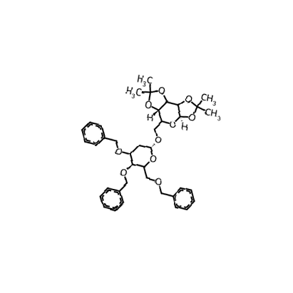 CC1(C)OC2C3OC(C)(C)O[C@H]3C(CO[C@H]3CC(OCc4ccccc4)[C@H](OCc4ccccc4)C(COCc4ccccc4)O3)O[C@@H]2O1